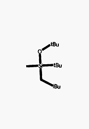 CCC(C)C[Si](C)(OC(C)(C)C)C(C)(C)C